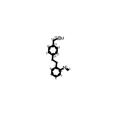 C=Nc1ccccc1CCc1ccc(CC(C)CC)cc1